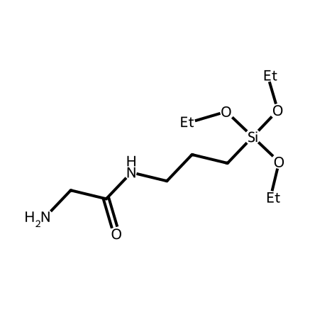 CCO[Si](CCCNC(=O)CN)(OCC)OCC